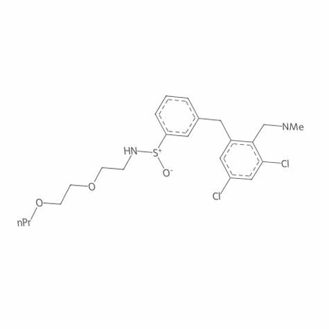 CCCOCCOCCN[S+]([O-])c1cccc(Cc2cc(Cl)cc(Cl)c2CNC)c1